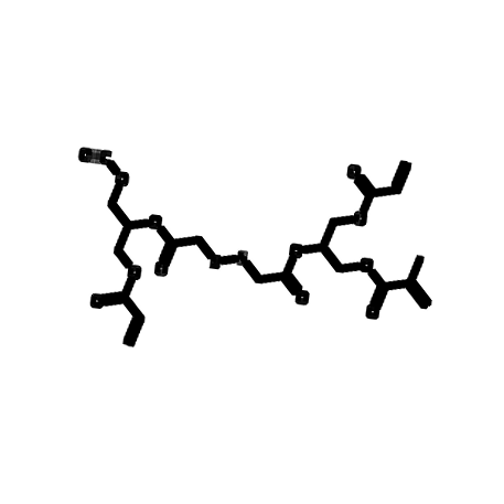 C=CC(=O)OCC(COC=O)OC(=O)CSSCC(=O)OC(COC(=O)C=C)COC(=O)C(=C)C